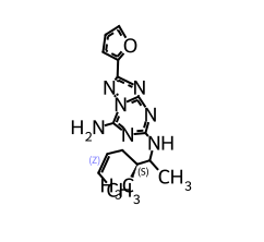 C/C=C\C[C@H](C)C(C)Nc1nc(N)n2nc(-c3ccco3)nc2n1